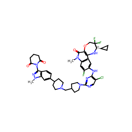 Cn1nc(N2C(=O)CCCC2=O)c2ccc(C3CCN(CC4CCN(c5ncc(Cl)c(Nc6cc7c8c(c(=O)n(C)c7cc6F)OCC(F)(F)[C@H](C6CC6)N8)n5)CC4)CC3)cc21